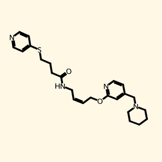 O=C(CCCSc1ccncc1)NC/C=C\COc1cc(CN2CCCCC2)ccn1